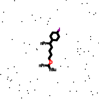 CCCCC(CCC)OCCCCC(CCC)C1CCC(I)CC1